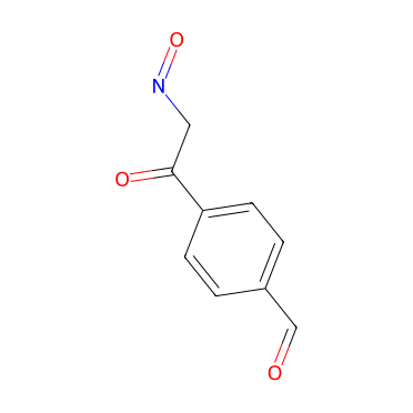 O=Cc1ccc(C(=O)CN=O)cc1